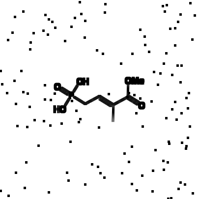 COC(=O)C(C)=CCP(=O)(O)O